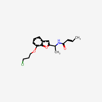 C/C=C/C(=O)NC(C)c1cc2cccc(OCCCCl)c2o1